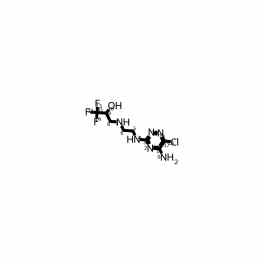 Nc1nc(NCCNCC(O)C(F)(F)F)nnc1Cl